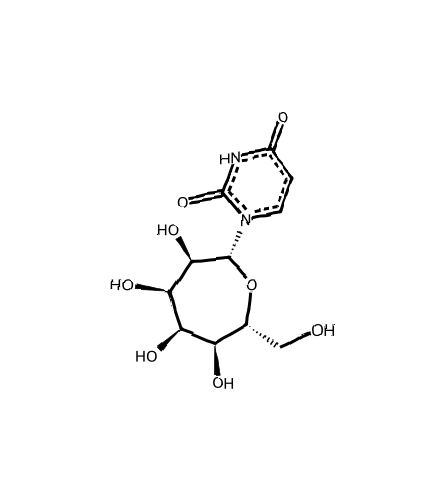 O=c1ccn([C@@H]2O[C@H](CO)[C@@H](O)[C@@H](O)[C@@H](O)[C@H]2O)c(=O)[nH]1